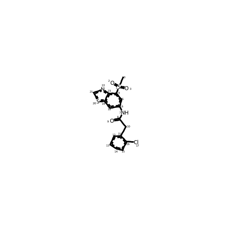 CS(=O)(=O)c1cc(NC(=O)Cc2ccccc2Cl)cc2scnc12